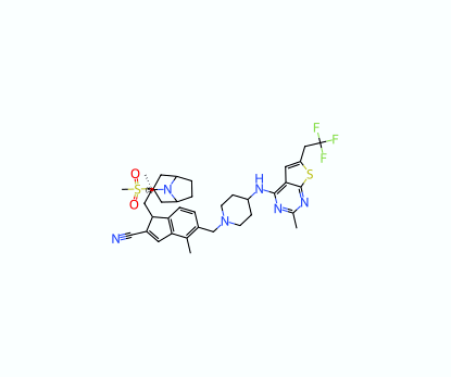 Cc1nc(NC2CCN(Cc3ccc4c(c3C)C=C(C#N)C4C[C@H](C)N3C4CCC3CC(S(C)(=O)=O)C4)CC2)c2cc(CC(F)(F)F)sc2n1